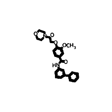 COc1cc(C(=O)Nc2cccc(-c3ccccc3)c2)ccc1OCC(=O)N1CCOCC1